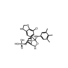 CC1=C2NOC(Nc3cc(C)c(C)c(C)c3)(N=C1)[N+]2(COP(=O)(O)O)c1cc(Cl)c2c(c1)NCO2